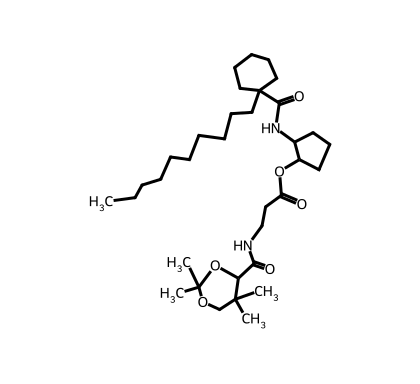 CCCCCCCCCCC1(C(=O)NC2CCCC2OC(=O)CCNC(=O)C2OC(C)(C)OCC2(C)C)CCCCC1